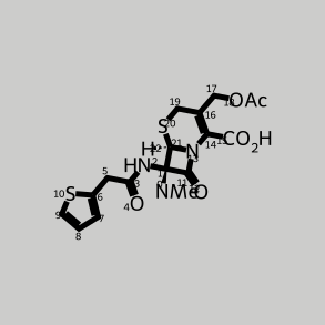 CN[C@]1(NC(=O)Cc2cccs2)C(=O)N2C(C(=O)O)=C(COC(C)=O)CS[C@@H]21